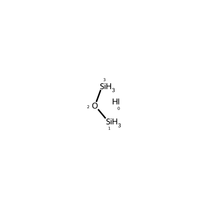 I.[SiH3]O[SiH3]